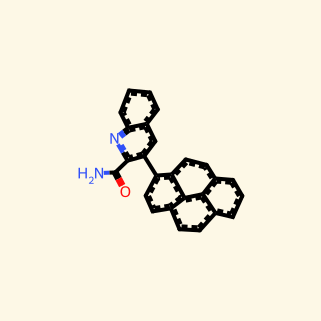 NC(=O)c1nc2ccccc2cc1-c1ccc2ccc3cccc4ccc1c2c34